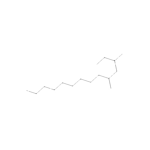 [CH2]C(CC)CC(C)CCCCCCCCC